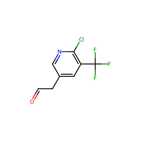 O=CCc1cnc(Cl)c(C(F)(F)F)c1